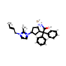 CC=CC[n+]1ccn(C2CCC(C(C(N)=O)(c3ccccc3)c3ccccc3)C2)c1C.[Br-]